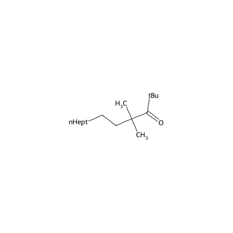 CCCCCCCCCC(C)(C)C(=O)C(C)(C)C